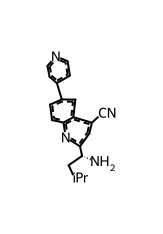 CC(C)C[C@@H](N)c1cc(C#N)c2cc(-c3ccncc3)ccc2n1